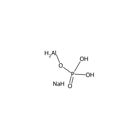 O=P(O)(O)[O][AlH2].[NaH]